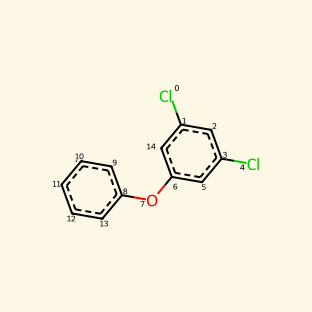 Clc1cc(Cl)cc(Oc2c[c]ccc2)c1